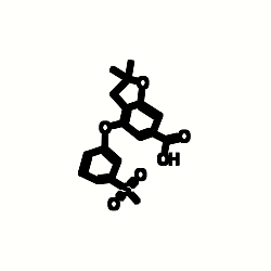 CC1(C)Cc2c(Oc3cccc(S(C)(=O)=O)c3)cc(C(=O)O)cc2O1